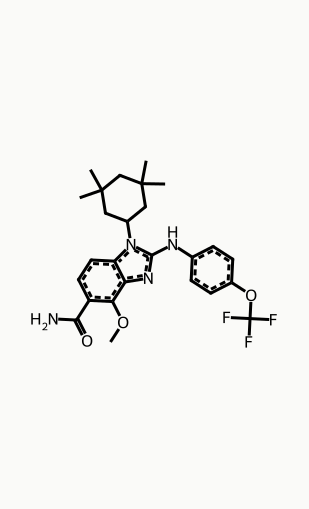 COc1c(C(N)=O)ccc2c1nc(Nc1ccc(OC(F)(F)F)cc1)n2C1CC(C)(C)CC(C)(C)C1